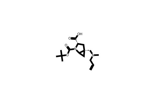 C=CCN(C)C[C@]12CC1N(C(=O)OC(C)(C)C)[C@H](C(=O)O)C2